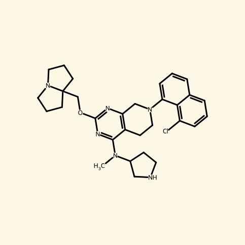 CN(c1nc(OCC23CCCN2CCC3)nc2c1CCN(c1cccc3cccc(Cl)c13)C2)C1CCNC1